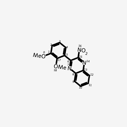 COc1cccc(-c2nc3ccccc3nc2[N+](=O)[O-])c1OC